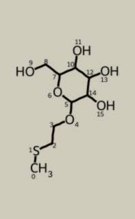 CSCCOC1OC(CO)C(O)C(O)C1O